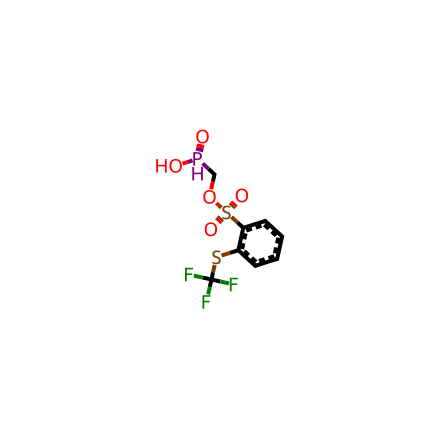 O=[PH](O)COS(=O)(=O)c1ccccc1SC(F)(F)F